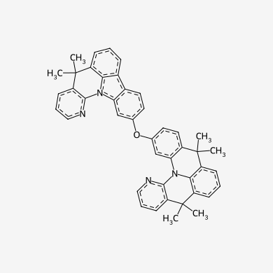 CC1(C)c2ccc(Oc3ccc4c5cccc6c5n(c4c3)-c3ncccc3C6(C)C)cc2N2c3ncccc3C(C)(C)c3cccc1c32